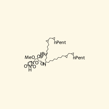 CCCCCC1CC1CC1CC1CCCCCCCCC(CCCCCCCCC1CC1CC1CC1CCCCC)N(C)OC[C@H]1O[C@@H](n2ccc(=O)[nH]c2=O)C(OC)C1O[Si](C)(C)C(C)(C)C